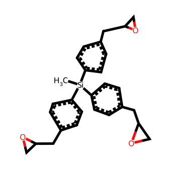 C[Si](c1ccc(CC2CO2)cc1)(c1ccc(CC2CO2)cc1)c1ccc(CC2CO2)cc1